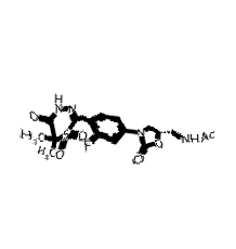 CC(=O)NC[C@H]1CN(c2ccc(C3=NNC(=O)C(C)(C)S3(=O)=O)c(F)c2)C(=O)O1